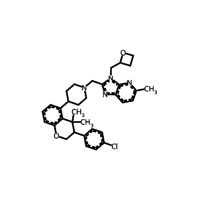 Cc1ccc2nc(CN3CCC(c4cccc5c4C(C)(C)C(c4ccc(Cl)cc4)CO5)CC3)n(CC3CCO3)c2n1